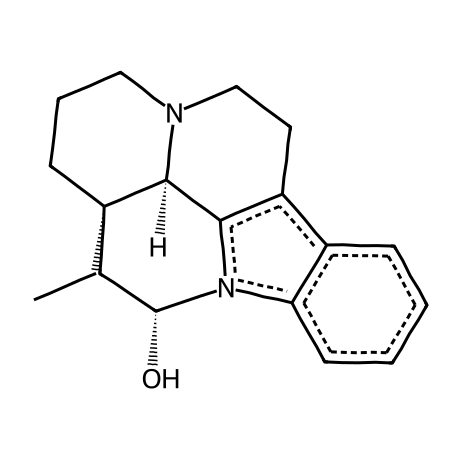 CC[C@@]12CCCN3CCc4c(n(c5ccccc45)[C@H](O)C1)[C@H]32